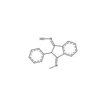 C/N=C1/c2ccccc2/C(=N/O)C1c1ccccc1